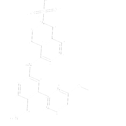 COc1ccnc(-c2cc(Nc3cccc4c3CCN(S(C)(=O)=O)C4)ccc2CN)n1